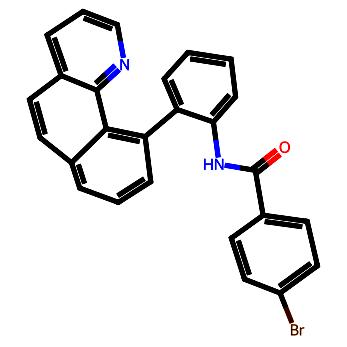 O=C(Nc1ccccc1-c1cccc2ccc3cccnc3c12)c1ccc(Br)cc1